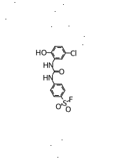 O=C(Nc1ccc(S(=O)(=O)F)cc1)Nc1cc(Cl)ccc1O